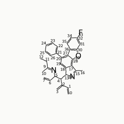 C=CC(=C)C(C(C=C)/N=C(\C)CC)C1N=C(C)c2c1cc(-c1ccccc1)c1c2oc2cc(F)ccc21